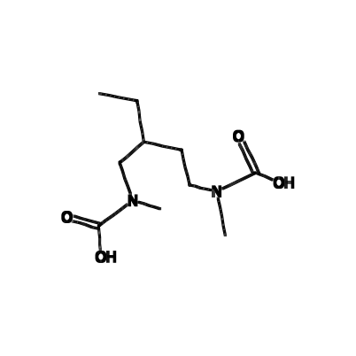 CCC(CCN(C)C(=O)O)CN(C)C(=O)O